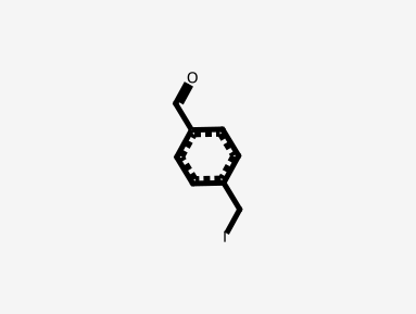 O=Cc1ccc(CI)cc1